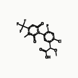 COC(C(=O)O)c1cc(-n2c(=O)cc(C(F)(F)F)n(C)c2=O)c(F)cc1Cl